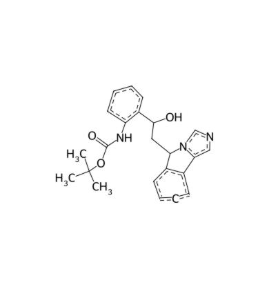 CC(C)(C)OC(=O)Nc1ccccc1C(O)CC1c2ccccc2-c2cncn21